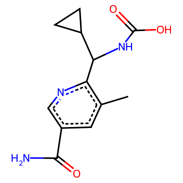 Cc1cc(C(N)=O)cnc1C(NC(=O)O)C1CC1